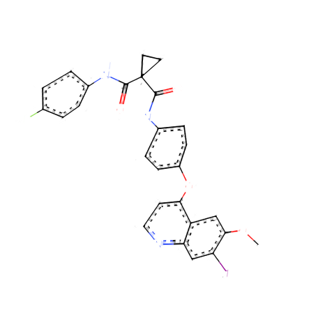 COc1cc2c(Oc3ccc(NC(=O)C4(C(=O)Nc5ccc(F)cc5)CC4)cc3)ccnc2cc1I